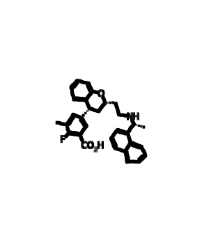 Cc1cc([C@H]2C[C@@H](CCN[C@H](C)c3cccc4ccccc34)Oc3ccccc32)cc(C(=O)O)c1F